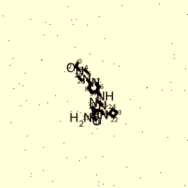 CC(=O)N1CCN(c2ccc(Nc3ncc(C(N)=O)c(NC4CCC4)n3)cn2)CC1